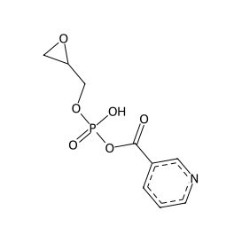 O=C(OP(=O)(O)OCC1CO1)c1cccnc1